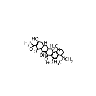 CN1CCC(N(C)C)c2cc(O)c3c(c21)CC1C[C@H]2CC(O)=C(C(N)=O)C(=O)C2C(O)=C1C3=O